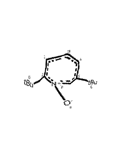 CC(C)(C)c1cccc(C(C)(C)C)[n+]1[O-]